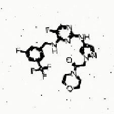 O=C(Cn1cc(Nc2ncc(F)c(NCc3cc(F)cc(C(F)(F)F)c3)n2)cn1)N1CCOCC1